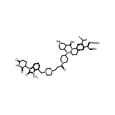 CN/C=C(\C=N)c1cc2c(cc1C(F)F)N(C(=N)C1CN(C(C)=O)CCC1NC1CCN(C(=O)CCN3CCN(Cc4cccc5c4n(C)c(=O)n5C4CCC(=O)NC4=O)CC3)CC1)CCC2